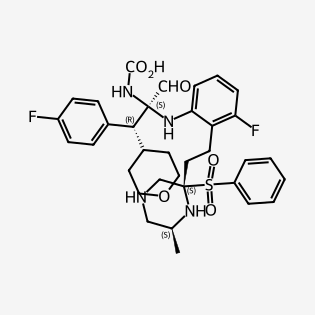 C[C@H]1CNC[C@](CCc2c(F)cccc2N[C@](C=O)(NC(=O)O)[C@@H](c2ccc(F)cc2)C2CCOCC2)(S(=O)(=O)c2ccccc2)N1